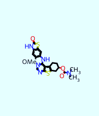 COc1cc2[nH]c(=O)sc2cc1Nc1ncnc2sc3c(c12)CCC(OC(=O)N(C)C)C3